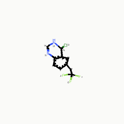 FC(F)(F)Cc1ccc2c(c1)C(Cl)NC=N2